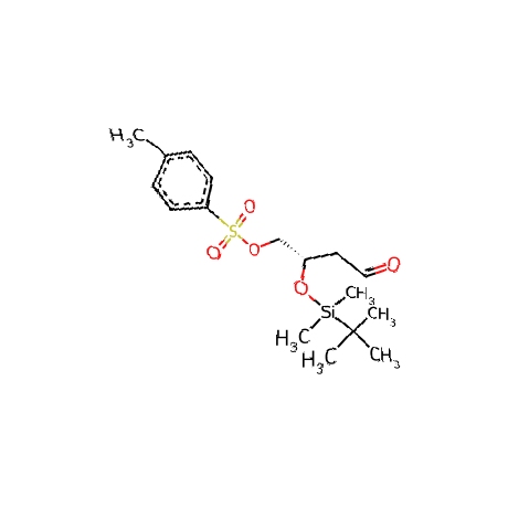 Cc1ccc(S(=O)(=O)OC[C@H](CC=O)O[Si](C)(C)C(C)(C)C)cc1